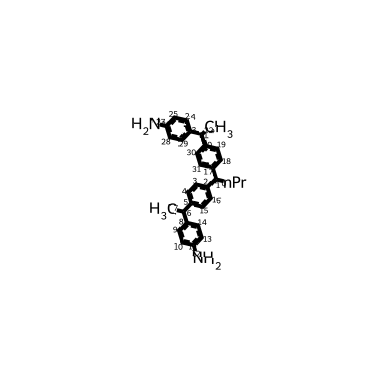 CCCC(c1ccc(C(C)c2ccc(N)cc2)cc1)c1ccc(C(C)c2ccc(N)cc2)cc1